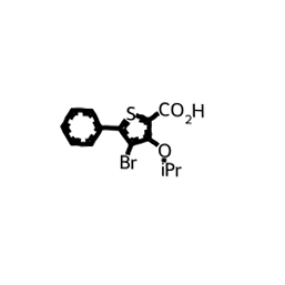 CC(C)Oc1c(C(=O)O)sc(-c2ccccc2)c1Br